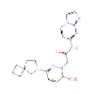 O=C(CN1N=C(N2CCC3(CCC3)C2)C=CC1O)Nc1ccn2ccnc2c1